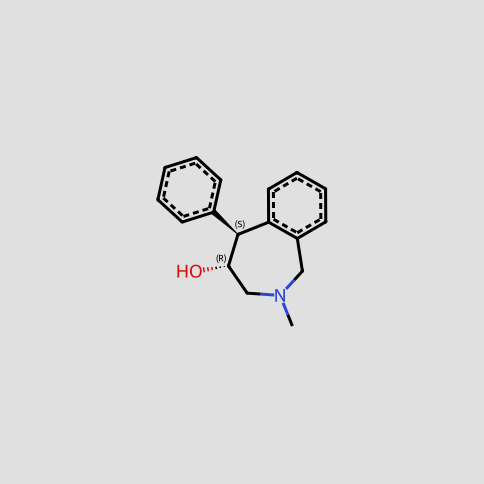 CN1Cc2ccccc2[C@H](c2ccccc2)[C@@H](O)C1